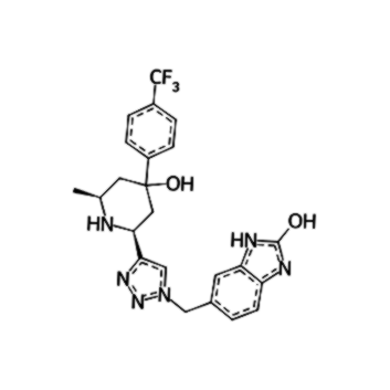 C[C@H]1CC(O)(c2ccc(C(F)(F)F)cc2)C[C@@H](c2cn(Cc3ccc4nc(O)[nH]c4c3)nn2)N1